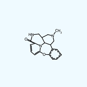 CN1CC2CNC(=O)C3C=CC=C4Oc5ccccc5C(C1)C2N43